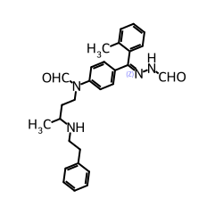 Cc1ccccc1/C(=N\NC=O)c1ccc(N(C=O)CCC(C)NCCc2ccccc2)cc1